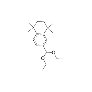 CCOC(OCC)c1ccc2c(c1)C(C)(C)CCC2(C)C